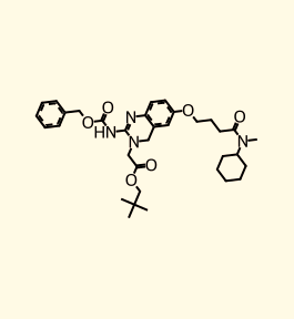 CN(C(=O)CCCOc1ccc2c(c1)CN(CC(=O)OCC(C)(C)C)C(NC(=O)OCc1ccccc1)=N2)C1CCCCC1